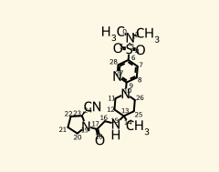 CN(C)S(=O)(=O)c1ccc(N2CCC(C)(NCC(=O)N3CCC[C@H]3C#N)CC2)nc1